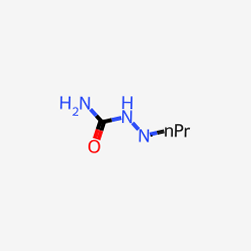 CCC[N]NC(N)=O